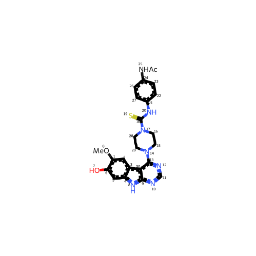 COc1cc2c(cc1O)[nH]c1ncnc(N3CCN(C(=S)Nc4ccc(NC(C)=O)cc4)CC3)c12